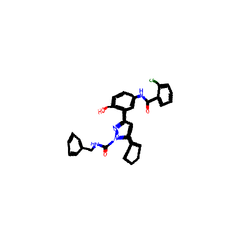 O=C(Nc1ccc(O)c(-c2cc(C3CCCC3)n(C(=O)NCc3ccccc3)n2)c1)c1ccccc1Cl